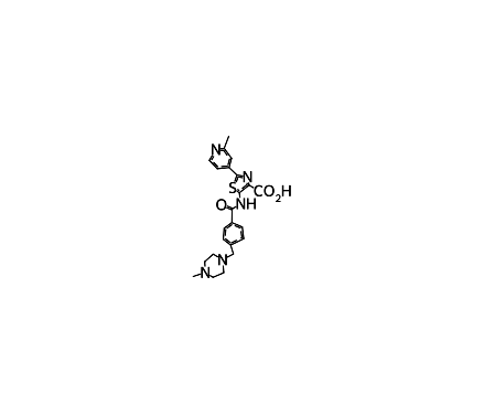 Cc1cc(-c2nc(C(=O)O)c(NC(=O)c3ccc(CN4CCN(C)CC4)cc3)s2)ccn1